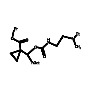 [CH2]C([CH2])OC(=O)C1(C(CCCCCCCC)OC(=O)NCCN(C)CC)CC1